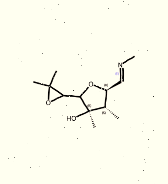 C/N=C/[C@@H]1OC(C2OC2(C)C)[C@](C)(O)[C@H]1C